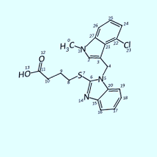 Cn1cc(Cn2c(SCCCC(=O)O)nc3ccccc32)c2c(Cl)cccc21